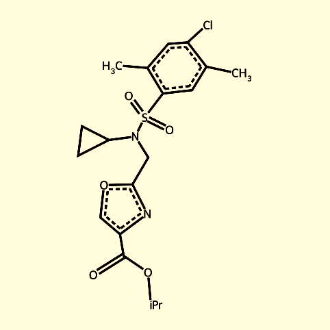 Cc1cc(S(=O)(=O)N(Cc2nc(C(=O)OC(C)C)co2)C2CC2)c(C)cc1Cl